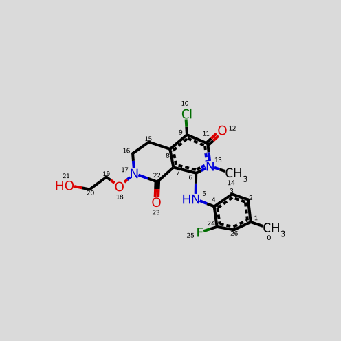 Cc1ccc(Nc2c3c(c(Cl)c(=O)n2C)CCN(OCCO)C3=O)c(F)c1